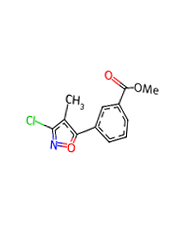 COC(=O)c1cccc(-c2onc(Cl)c2C)c1